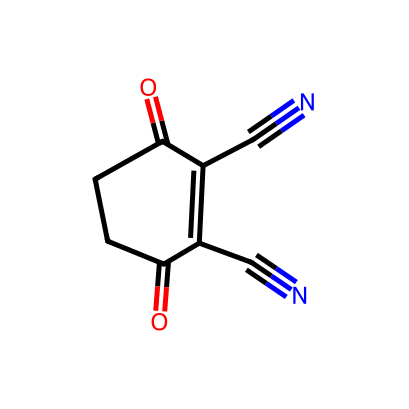 N#CC1=C(C#N)C(=O)CCC1=O